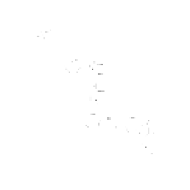 C[C@H]1CCCCN1c1nnc2ccc(O[C@@H]3CC[C@H](NC(=O)Nc4cc(C(C)(C)C)nn4-c4cc(F)cc(OCCOS(C)(=O)=O)c4)c4ccccc43)cn12